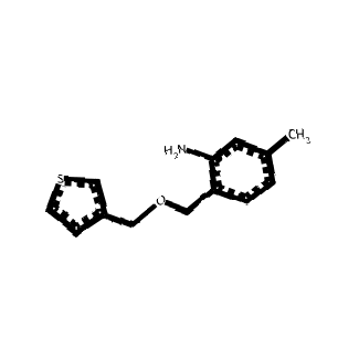 Cc1ccc(COCc2ccsc2)c(N)c1